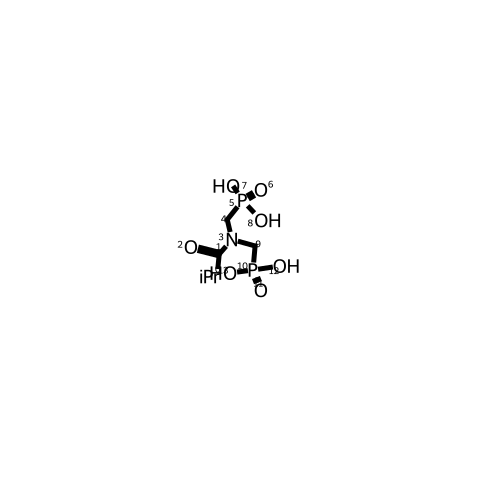 CC(C)C(=O)N(CP(=O)(O)O)CP(=O)(O)O